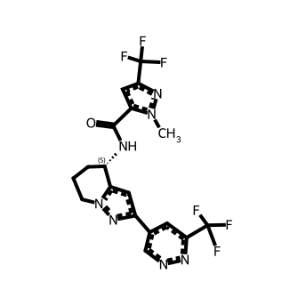 Cn1nc(C(F)(F)F)cc1C(=O)N[C@H]1CCCn2nc(-c3cnnc(C(F)(F)F)c3)cc21